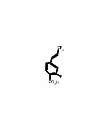 O=C(O)c1ccc(C=CC(F)(F)F)cc1F